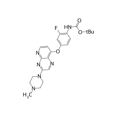 CN1CCN(c2cnc3c(Oc4ccc(NC(=O)OC(C)(C)C)c(F)c4)ccnc3n2)CC1